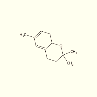 CC1=CCC2OC(C)(C)CCC2=C1